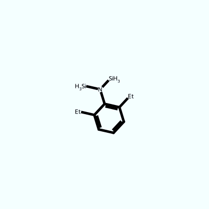 CCc1cccc(CC)c1N([SiH3])[SiH3]